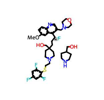 COc1ccc2ncc(CN3CCOCC3)c([C@H](F)CCC3(CO)CCN(CCSc4c(F)cc(F)cc4F)CC3)c2c1.OCC1CCNCC1